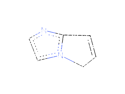 [C]1=Cc2n[c]cn2C1